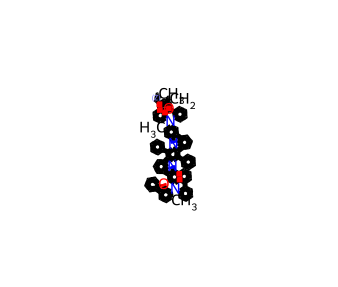 C=Cc1oc2c(N(c3ccc4c(c3)c3cccc5c6c(-c7ccccc7)c7c(c(-c8ccccc8)c6n4c35)c3cccc4c5cc(N(c6ccccc6-c6ccccc6)c6c(C)ccc8c6oc6ccccc68)ccc5n7c43)c3ccccc3-c3ccccc3)c(C)ccc2c1/C=C\C